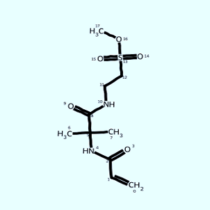 C=CC(=O)NC(C)(C)C(=O)NCCS(=O)(=O)OC